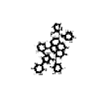 Fc1cccnc1N(c1ccccc1)c1ccc2ccc3c(N(c4ccccc4)c4cc(-c5ccccc5)cc(-c5ccccc5)c4)ccc4ccc1c2c43